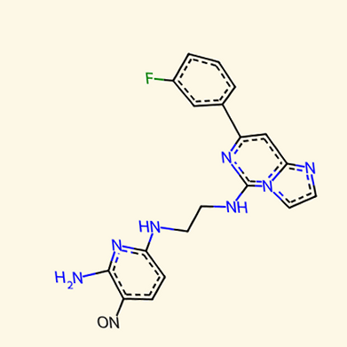 Nc1nc(NCCNc2nc(-c3cccc(F)c3)cc3nccn23)ccc1N=O